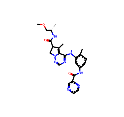 COC[C@H](C)NC(=O)C1CN2N=CN=C(Nc3cc(NC(=O)c4cnccn4)ccc3C)C2=C1C